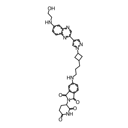 O=C1CCC(N2C(=O)c3ccc(NCCCC4CC(n5cc(-c6cnc7cc(NCCO)ccc7n6)cn5)C4)cc3C2=O)C(=O)N1